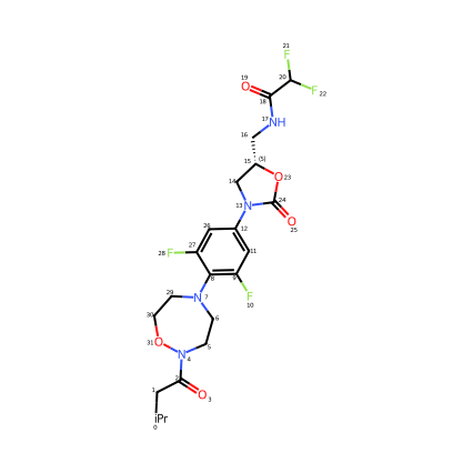 CC(C)CC(=O)N1CCN(c2c(F)cc(N3C[C@H](CNC(=O)C(F)F)OC3=O)cc2F)CCO1